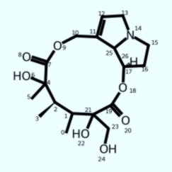 CC1[C@@H](C)C(C)(O)C(=O)OCC2=CCN3CC[C@@H](OC(=O)C1(O)CO)C23